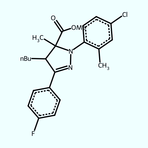 CCCCC1C(c2ccc(F)cc2)=NN(c2ccc(Cl)cc2C)C1(C)C(=O)OC